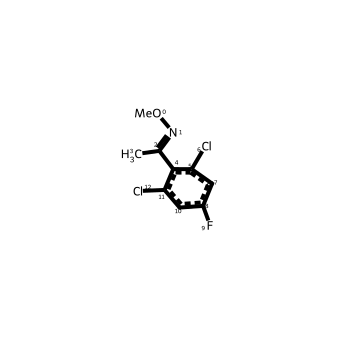 CO/N=C(\C)c1c(Cl)cc(F)cc1Cl